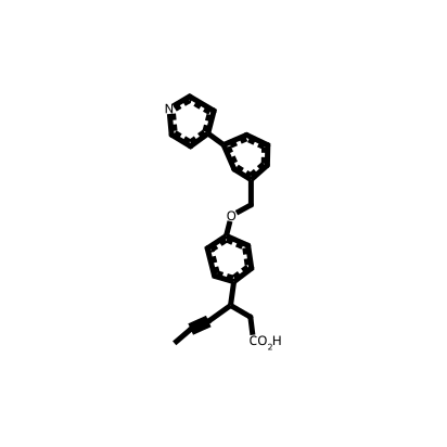 CC#CC(CC(=O)O)c1ccc(OCc2cccc(-c3ccncc3)c2)cc1